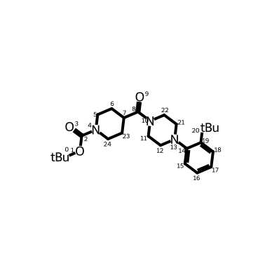 CC(C)(C)OC(=O)N1CCC(C(=O)N2CCN(c3ccccc3C(C)(C)C)CC2)CC1